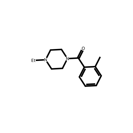 CCN1CCN(C(=O)c2ccccc2C)CC1